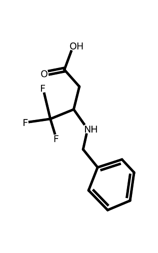 O=C(O)CC(NCc1ccccc1)C(F)(F)F